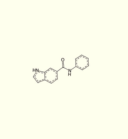 O=C(Nc1ccccc1)c1ccc2cc[nH]c2c1